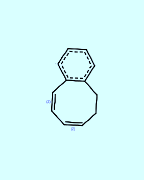 [c]1cccc2c1/C=C\C=C/CC2